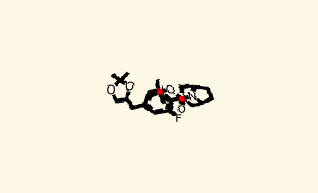 CC(C)(C)OC(=O)N1C2CCC1CN(c1ncc(CC3COC(C)(C)O3)cc1F)C2